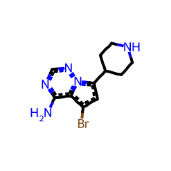 Nc1ncnn2c(C3CCNCC3)cc(Br)c12